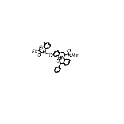 CCC(CC)C(=O)N(CCOc1ccc(CC(Nc2ccccc2C(=O)c2ccccc2)C(=O)OC)cc1)c1cccc(C)c1